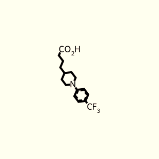 O=C(O)CCCC1CCN(c2ccc(C(F)(F)F)cc2)CC1